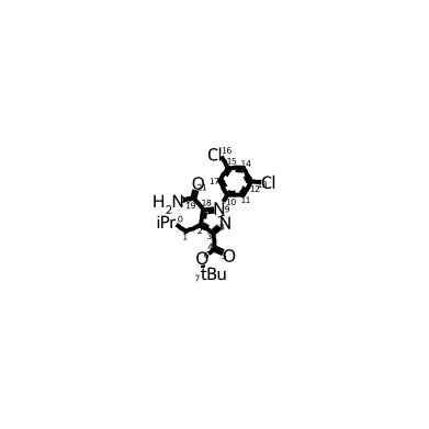 CC(C)Cc1c(C(=O)OC(C)(C)C)nn(-c2cc(Cl)cc(Cl)c2)c1C(N)=O